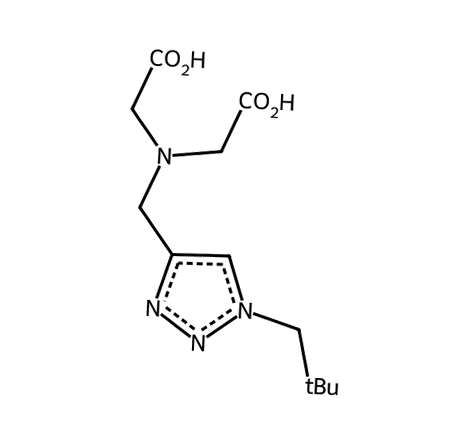 CC(C)(C)Cn1cc(CN(CC(=O)O)CC(=O)O)nn1